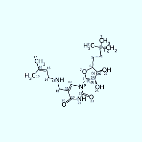 C=P(C)(C)CCC1O[C@@H](n2cc(CNCC=C(C)C)c(=O)[nH]c2=O)[C@H](O)[C@@H]1O